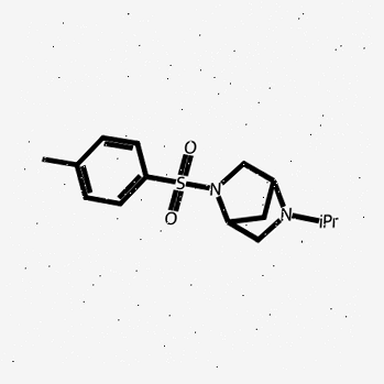 Cc1ccc(S(=O)(=O)N2CC3CC2CN3C(C)C)cc1